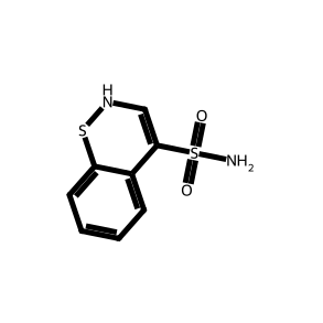 NS(=O)(=O)C1=CNSc2ccccc21